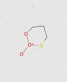 [O-][O+]1OCCCS1